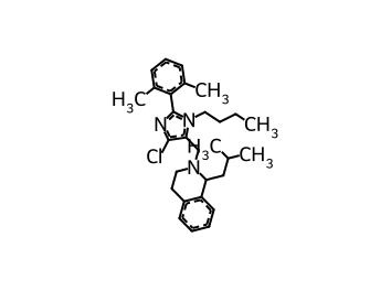 CCCCn1c(-c2c(C)cccc2C)nc(Cl)c1CN1CCc2ccccc2C1CC(C)C